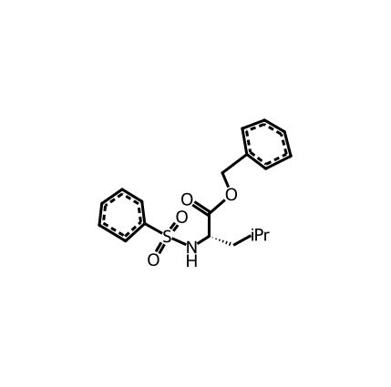 CC(C)C[C@H](NS(=O)(=O)c1ccccc1)C(=O)OCc1ccccc1